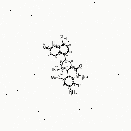 COc1cc(N)c(F)cc1CN(C[C@H](O[Si](C)(C)C(C)(C)C)c1ccc(O)c2[nH]c(=O)ccc12)C(=O)OC(C)(C)C